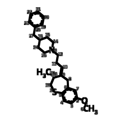 COc1ccc2c(c1)C/C(=C/CCN1CCC(Cc3ccccc3)CC1)[C@@H](C)CS2